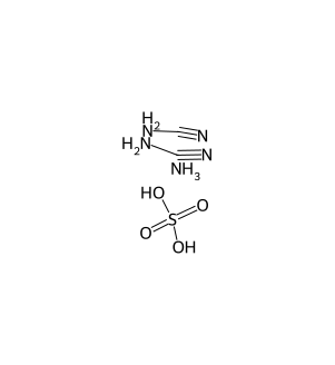 N.N#CN.N#CN.O=S(=O)(O)O